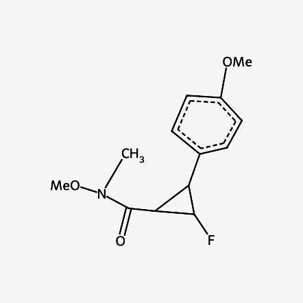 COc1ccc(C2C(F)C2C(=O)N(C)OC)cc1